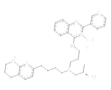 CO[C@H](C)CN(CCCCc1ccc2c(n1)NCCC2)CC[C@H](Nc1c2ccccc2nc(-c2cccnc2)[n+]1O)C(C)=O